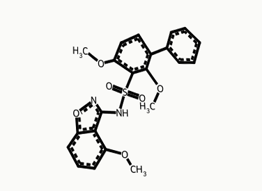 COc1ccc(-c2ccccc2)c(OC)c1S(=O)(=O)Nc1noc2cccc(OC)c12